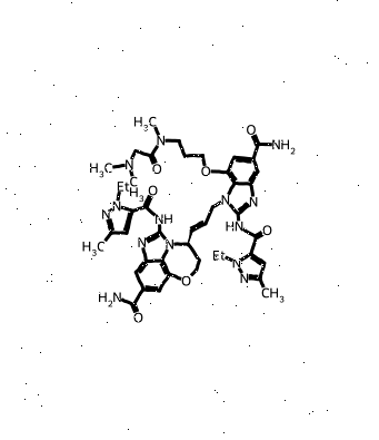 CCn1nc(C)cc1C(=O)Nc1nc2cc(C(N)=O)cc(OCCCN(C)C(=O)CN(C)C)c2n1C/C=C/[C@H]1CCOc2cc(C(N)=O)cc3nc(NC(=O)c4cc(C)nn4CC)n1c23